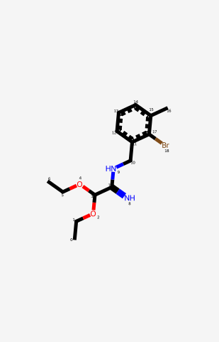 CCOC(OCC)C(=N)NCc1cccc(C)c1Br